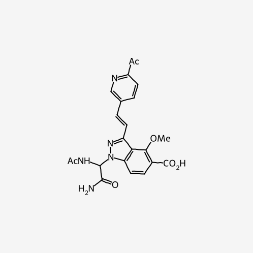 COc1c(C(=O)O)ccc2c1c(C=Cc1ccc(C(C)=O)nc1)nn2C(NC(C)=O)C(N)=O